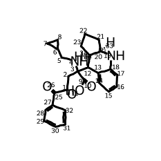 O=C(CC(NCC1CC1)(C(=O)O)C1c2ccccc2N[C@@H]2CCC[C@H]12)C(=O)c1ccccc1